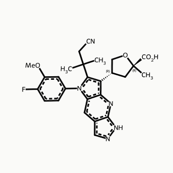 COc1cc(-n2c(C(C)(C)CC#N)c([C@@H]3CO[C@@](C)(C(=O)O)C3)c3nc4[nH]ncc4cc32)ccc1F